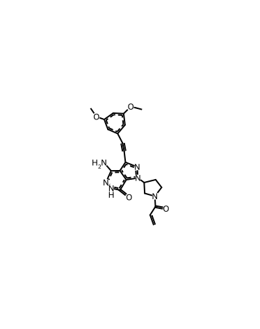 C=CC(=O)N1CCC(n2nc(C#Cc3cc(OC)cc(OC)c3)c3c(N)n[nH]c(=O)c32)C1